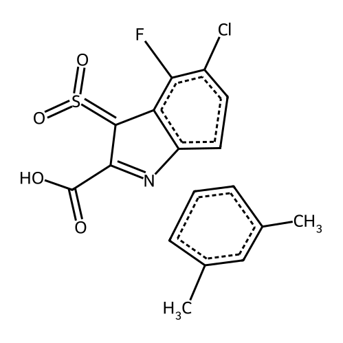 Cc1cccc(C)c1.O=C(O)C1=Nc2ccc(Cl)c(F)c2C1=S(=O)=O